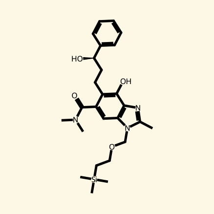 Cc1nc2c(O)c(CC[C@@H](O)c3ccccc3)c(C(=O)N(C)C)cc2n1COCC[Si](C)(C)C